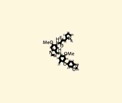 COc1cc2ncnc(Nc3cc(C)c(Oc4ccc5ncoc5c4)cc3OC)c2cc1NC(=O)C(F)=CC1CCCN1C